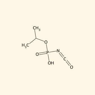 CC(C)OP(=O)(O)N=C=O